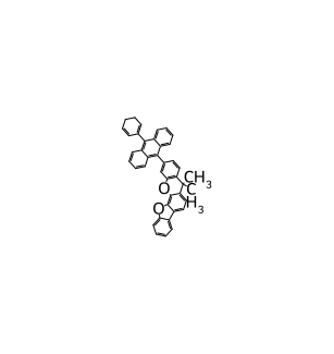 CC1(C)c2ccc(-c3c4ccccc4c(C4=CCCC=C4)c4ccccc34)cc2Oc2c1ccc1c2oc2ccccc21